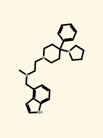 CN(CCN1CCC(c2ccccc2)(N2CCCC2)CC1)Cc1cccc2[nH]ccc12